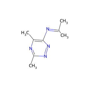 CC(C)=Nc1nnc(C)nc1C